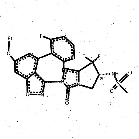 CCOc1cc(-c2c(F)cccc2F)c2c(-n3cc4n(c3=O)C[C@@H](NS(C)(=O)=O)C4(F)F)noc2c1